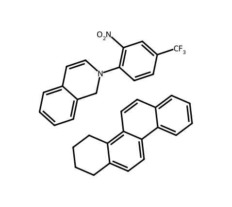 O=[N+]([O-])c1cc(C(F)(F)F)ccc1N1C=Cc2ccccc2C1.c1ccc2c(c1)ccc1c3c(ccc12)CCCC3